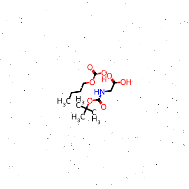 CC(C)(C)OC(=O)NCC(=O)O.CCCCOC(=O)O